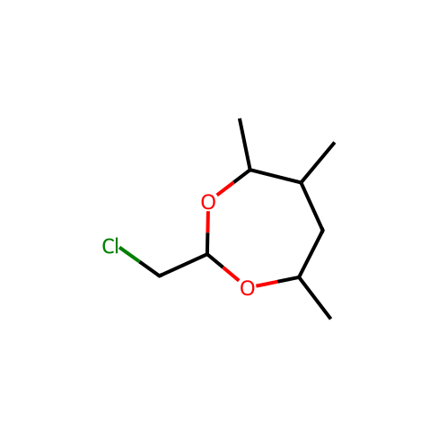 CC1CC(C)C(C)OC(CCl)O1